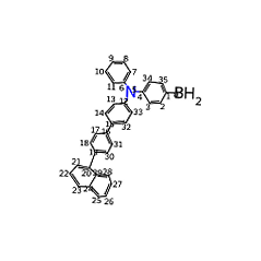 Bc1ccc(N(c2ccccc2)c2ccc(-c3ccc(-c4cccc5ccccc45)cc3)cc2)cc1